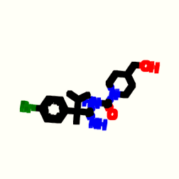 CC(C)C(C)(C(=N)NC(=O)N1CCC(CO)CC1)c1ccc(Br)cc1